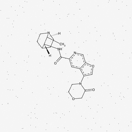 C[C@H]1[C@H](NC(=O)c2cc3c(N4CCOCC4=O)coc3cn2)C2CCN1CC2